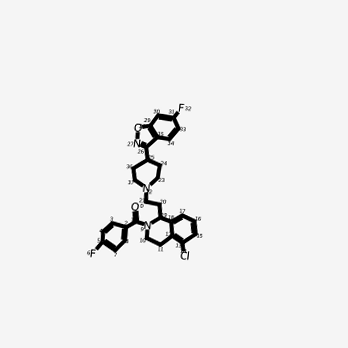 O=C(c1ccc(F)cc1)N1CCc2c(Cl)cccc2C1CCN1CCC(c2noc3cc(F)ccc23)CC1